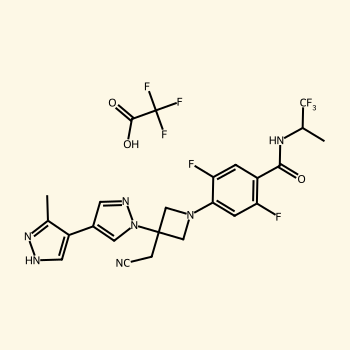 Cc1n[nH]cc1-c1cnn(C2(CC#N)CN(c3cc(F)c(C(=O)NC(C)C(F)(F)F)cc3F)C2)c1.O=C(O)C(F)(F)F